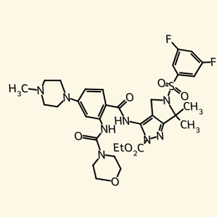 CCOC(=O)n1nc2c(c1NC(=O)c1ccc(N3CCN(C)CC3)cc1NC(=O)N1CCOCC1)CN(S(=O)(=O)c1cc(F)cc(F)c1)C2(C)C